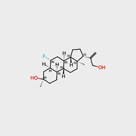 C=C(CO)[C@H]1CC[C@H]2[C@@H]3C[C@@H](F)[C@@H]4C[C@](C)(O)CC[C@@H]4[C@H]3CC[C@]12C